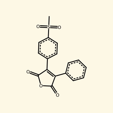 CS(=O)(=O)c1ccc(C2=C(c3ccccc3)C(=O)OC2=O)cc1